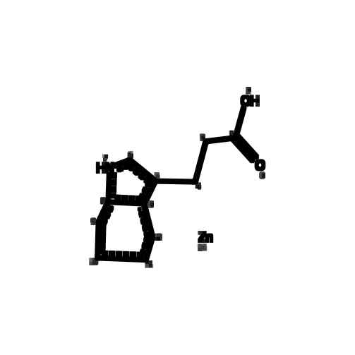 O=C(O)CCc1c[nH]c2ccccc12.[Zn]